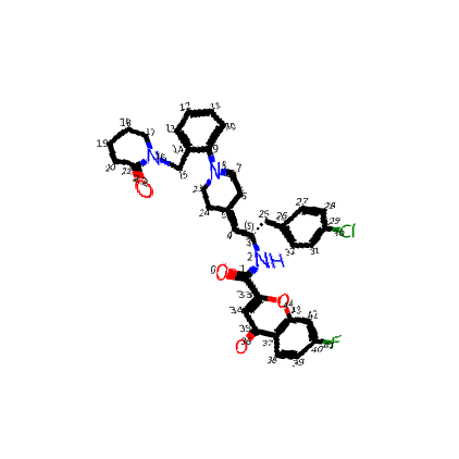 O=C(N[C@H](C=C1CCN(c2ccccc2CN2CCCCC2=O)CC1)Cc1ccc(Cl)cc1)c1cc(=O)c2ccc(F)cc2o1